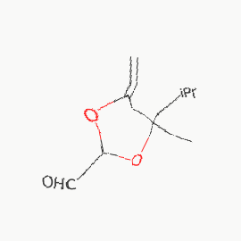 C=C1OC(C=O)OC1(C)C(C)C